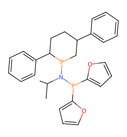 CC(C)N(P(c1ccco1)c1ccco1)P1CC(c2ccccc2)CCC1c1ccccc1